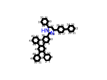 C1=CCCC(c2cc(-c3ccc(C4=NC(c5ccc(-c6ccccc6)cc5)=CC(c5ccccc5)N4)cc3)c(-c3ccccc3)cc2-c2ccccc2)=C1